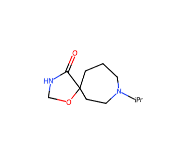 CC(C)N1CCCC2(CC1)OCNC2=O